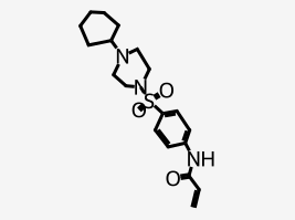 C=CC(=O)Nc1ccc(S(=O)(=O)N2CCN(C3CCCCC3)CC2)cc1